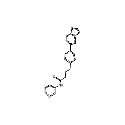 O=C(CCCc1ccc(-c2ccc3nccn3c2)cc1)Nc1cccnc1